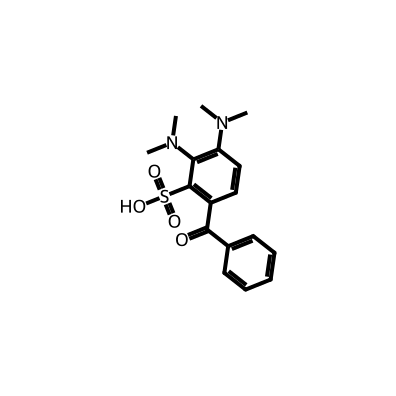 CN(C)c1ccc(C(=O)c2ccccc2)c(S(=O)(=O)O)c1N(C)C